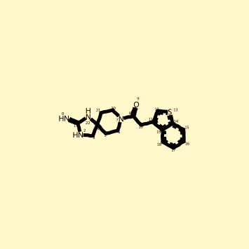 N=C1NCC2(CCN(C(=O)Cc3csc4ccccc34)CC2)N1